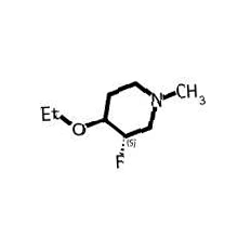 CCOC1CCN(C)C[C@@H]1F